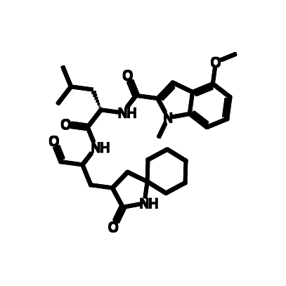 COc1cccc2c1cc(C(=O)N[C@@H](CC(C)C)C(=O)NC(C=O)CC1CC3(CCCCC3)NC1=O)n2C